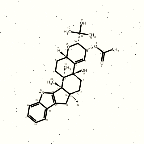 CC(=O)O[C@@H]1C=C2[C@H](CC[C@@]3(C)[C@@]2(O)CC[C@H]2Cc4c([nH]c5ccccc45)[C@@]23C)O[C@@H]1C(C)(C)O